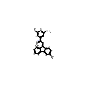 Cc1cc(/C(CC2c3ccccc3-c3cc(Br)ccc32)=N/O)cc(F)n1